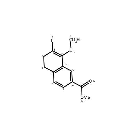 CCOC(=O)OC1=C(F)CCc2ccc(C(=O)OC)cc21